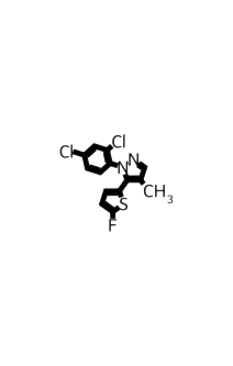 Cc1cnn(-c2ccc(Cl)cc2Cl)c1-c1ccc(F)s1